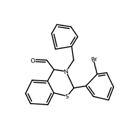 O=CC1c2ccccc2SC(c2ccccc2Br)N1Cc1ccccc1